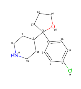 Clc1ccc(C2(C3CCNCC3)CCCO2)cc1